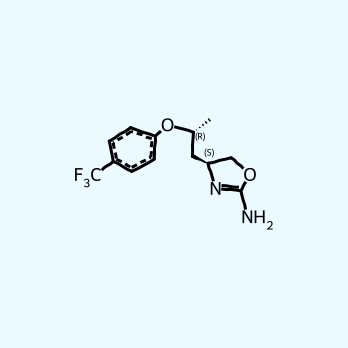 C[C@H](C[C@H]1COC(N)=N1)Oc1ccc(C(F)(F)F)cc1